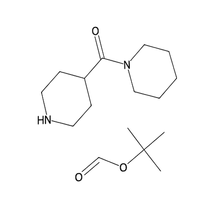 CC(C)(C)OC=O.O=C(C1CCNCC1)N1CCCCC1